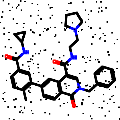 Cc1ccc(C(=O)NC2CC2)cc1-c1ccc2c(=O)n(Cc3ccccc3)cc(C(=O)NCCN3CCCC3)c2c1